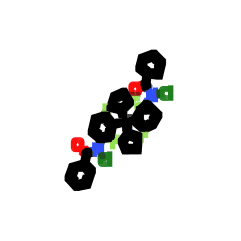 O=C(c1ccccc1)N(Cl)c1ccc(F)[c]([Ti]([C]2=CC=CC2)([C]2=CC=CC2)[c]2c(F)ccc(N(Cl)C(=O)c3ccccc3)c2F)c1F